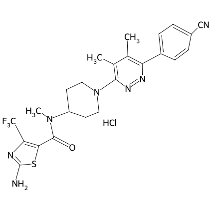 Cc1c(-c2ccc(C#N)cc2)nnc(N2CCC(N(C)C(=O)c3sc(N)nc3C(F)(F)F)CC2)c1C.Cl